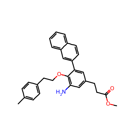 COC(=O)CCc1cc(N)c(OCCc2ccc(C)cc2)c(-c2ccc3ccccc3c2)c1